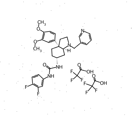 COc1ccc([C@@]23CC[C@@H](NC(=O)Nc4ccc(F)c(F)c4)C[C@@H]2N(Cc2cccnc2)CC3)cc1OC.O=C(O)C(F)(F)F.O=C(O)C(F)(F)F